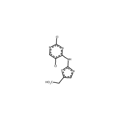 O=C(O)Cc1cnc(Nc2nc(Cl)ncc2Cl)s1